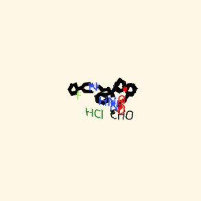 Cl.O=CCN(NCC(CCCN1CCC(c2ccccc2F)CC1)(c1ccccc1)c1ccccc1)C(=O)OCc1ccccc1